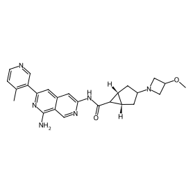 COC1CN(C2C[C@@H]3C(C(=O)Nc4cc5cc(-c6cnccc6C)nc(N)c5cn4)[C@@H]3C2)C1